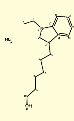 CCN1CN(CCCCCCO)c2ccccc21.Cl